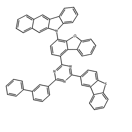 c1ccc(-c2cccc(-c3nc(-c4ccc5sc6ccccc6c5c4)nc(-c4ccc(-n5c6ccccc6c6cc7ccccc7cc65)c5oc6ccccc6c45)n3)c2)cc1